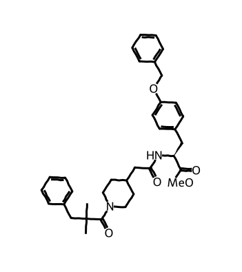 COC(=O)[C@H](Cc1ccc(OCc2ccccc2)cc1)NC(=O)CC1CCN(C(=O)C(C)(C)Cc2ccccc2)CC1